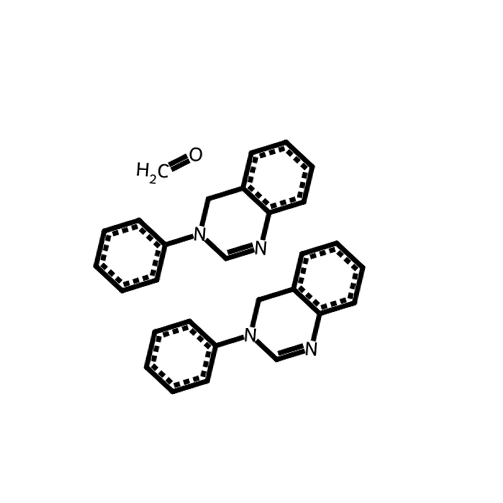 C1=Nc2ccccc2CN1c1ccccc1.C1=Nc2ccccc2CN1c1ccccc1.C=O